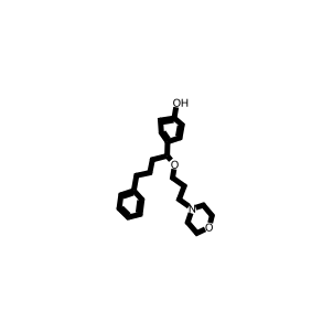 Oc1ccc(C(CCCc2ccccc2)OCCCN2CCOCC2)cc1